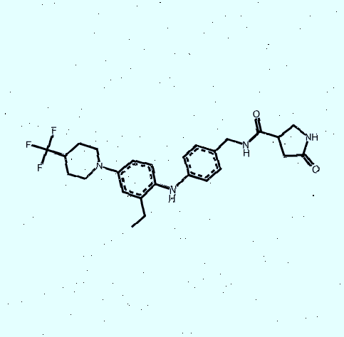 CCc1cc(N2CCC(C(F)(F)F)CC2)ccc1Nc1ccc(CNC(=O)C2CNC(=O)C2)cc1